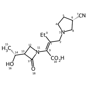 CC/C(CN1CC[C@H](C#N)C1)=C(/C(=O)O)N1CC([C@@H](C)O)C1=O